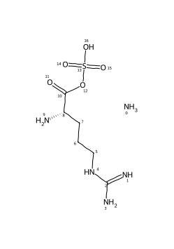 N.N=C(N)NCCC[C@H](N)C(=O)OS(=O)(=O)O